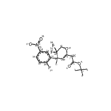 CC(C)(C)OC(=O)NC1=NC(C)(c2cc([N+](=O)[O-])ccc2F)C(F)(F)CO1